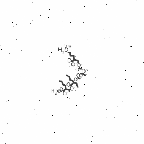 CC(=O)[O-].CC(=O)[O-].CC(=O)[O-].CCCCC(CC)C(=O)[O-].CCCCC(CC)C(=O)[O-].CCCCC(CC)C(=O)[O-].O.O.[Y+3].[Y+3]